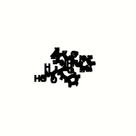 O=C(C[C@@H](CC1CCCC1)C(=O)N1CC2(CC2)CC1C(=O)Nc1cnccn1)NO